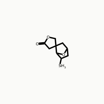 O=C1CC2(CO1)CC1CC([SiH3])C2O1